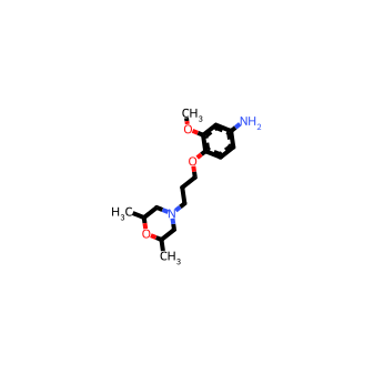 COc1cc(N)ccc1OCCCN1CC(C)OC(C)C1